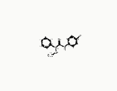 O=C(Nc1ccc(Cl)cc1)N(SC(Cl)(Cl)Cl)c1ccccc1